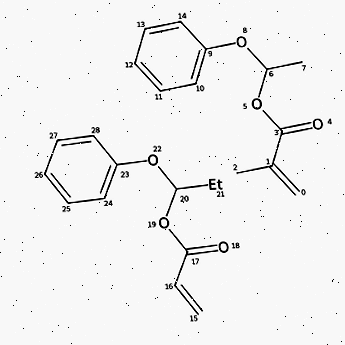 C=C(C)C(=O)OC(C)Oc1ccccc1.C=CC(=O)OC(CC)Oc1ccccc1